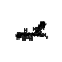 NCCN(CCNCC(=O)NNCC1CCCO1)CC(=O)NNCC1CCCO1